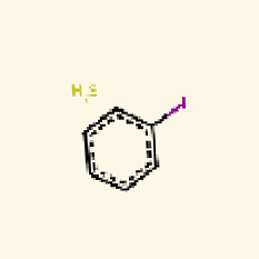 Ic1ccccc1.S